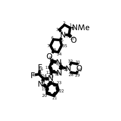 CN[C@H]1CCN(C2CCC(Oc3cc(-n4c(C(F)F)nc5ccccc54)nc(N4CCOCC4)n3)CC2)C1=O